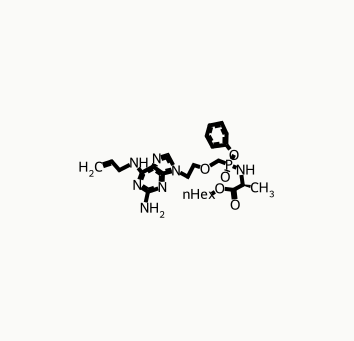 C=CCNc1nc(N)nc2c1ncn2CCOCP(=O)(N[C@@H](C)C(=O)OCCCCCC)Oc1ccccc1